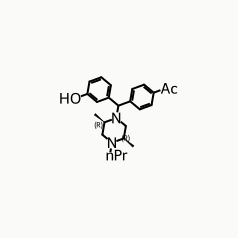 CCCN1C[C@@H](C)N(C(c2ccc(C(C)=O)cc2)c2cccc(O)c2)C[C@H]1C